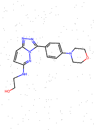 OCCNc1ccc2nnc(-c3ccc(N4CCOCC4)cc3)n2n1